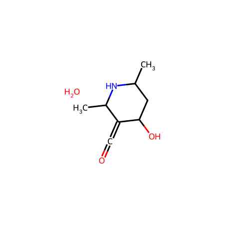 CC1CC(O)C(=C=O)C(C)N1.O